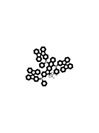 CC1(C)c2cc(N(c3ccccc3)c3ccc4c(c3)C3(c5ccccc5-c5ccccc53)c3ccccc3-4)ccc2-c2cc3c(N(c4ccccc4)c4ccc5c(c4)C4(c6ccccc6-c6ccccc64)c4ccccc4-5)c4ccccc4c(N(c4ccccc4)c4ccc5c(c4)C4(c6ccccc6-c6ccccc64)c4ccccc4-5)c3cc21